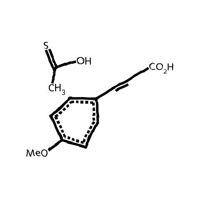 CC(O)=S.COc1ccc(C=CC(=O)O)cc1